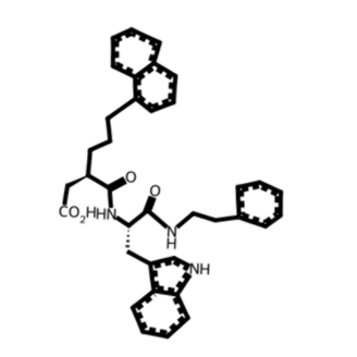 O=C(O)C[C@@H](CCCc1cccc2ccccc12)C(=O)N[C@@H](Cc1c[nH]c2ccccc12)C(=O)NCCc1ccccc1